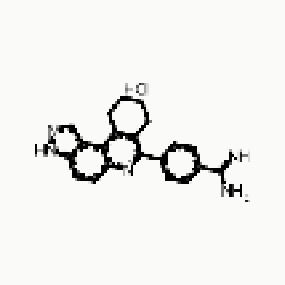 Cl.N=C(N)c1ccc(-c2nc3ccc4[nH]ncc4c3c3c2CCCC3)cc1